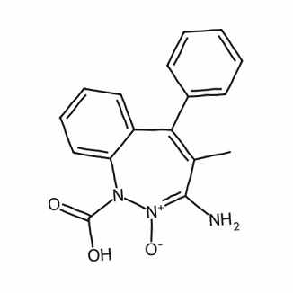 CC1=C(c2ccccc2)c2ccccc2N(C(=O)O)[N+]([O-])=C1N